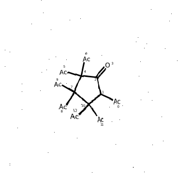 CC(=O)C1C(=O)C(C(C)=O)(C(C)=O)C(C(C)=O)(C(C)=O)C1(C(C)=O)C(C)=O